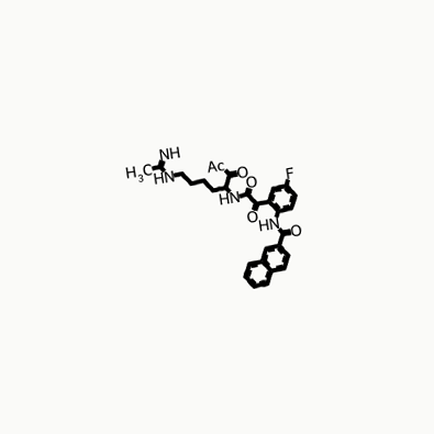 CC(=N)NCCCCC(NC(=O)C(=O)c1cc(F)ccc1NC(=O)c1ccc2ccccc2c1)C(=O)C(C)=O